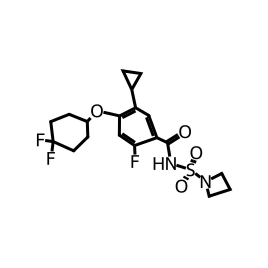 O=C(NS(=O)(=O)N1CCC1)c1cc(C2CC2)c(OC2CCC(F)(F)CC2)cc1F